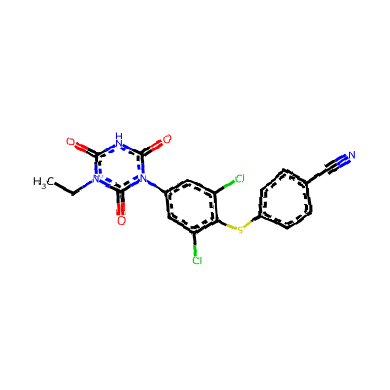 CCn1c(=O)[nH]c(=O)n(-c2cc(Cl)c(Sc3ccc(C#N)cc3)c(Cl)c2)c1=O